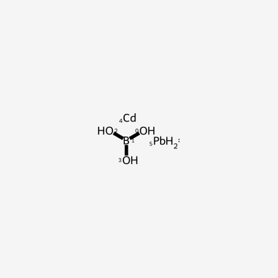 OB(O)O.[Cd].[PbH2]